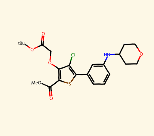 COC(=O)c1sc(-c2cccc(NC3CCOCC3)c2)c(Cl)c1OCC(=O)OC(C)(C)C